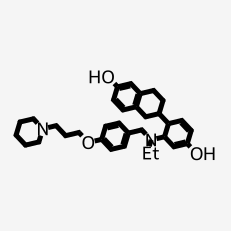 CCN(Cc1ccc(OCCCN2CCCCC2)cc1)C1C=C(O)C=CC1C1CCc2cc(O)ccc2C1